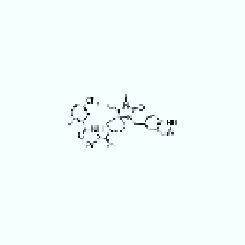 CC(C)[C@@H](NC(=O)c1cc(C(F)(F)F)ccc1F)C(=O)N1CCC2(CC1)C(=O)N(C)C(=O)N2Cc1ccc2[nH]ncc2c1